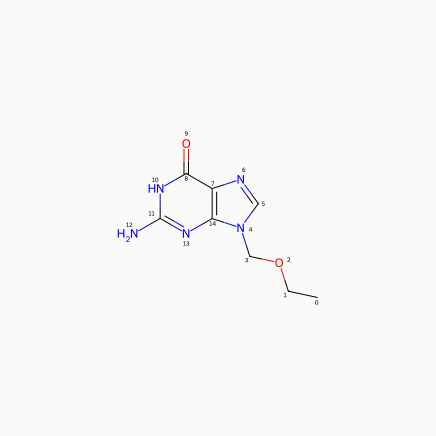 CCOCn1cnc2c(=O)[nH]c(N)nc21